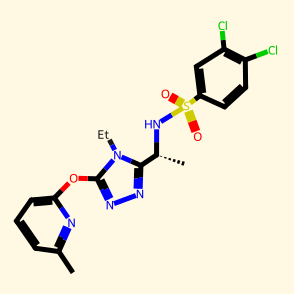 CCn1c(Oc2cccc(C)n2)nnc1[C@@H](C)NS(=O)(=O)c1ccc(Cl)c(Cl)c1